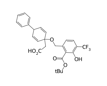 CC(C)(C)OC(=O)c1c(COC2(CC(=O)O)C=CC(c3ccccc3)C=C2)ccc(C(F)(F)F)c1O